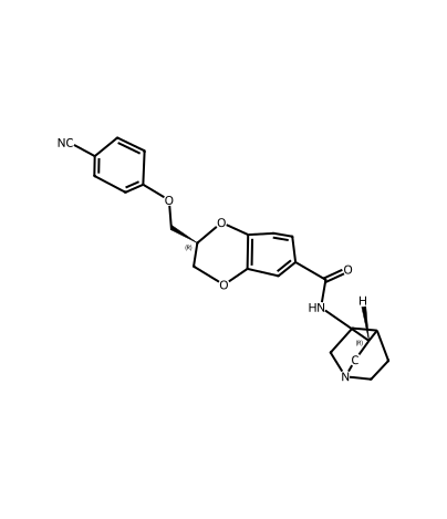 N#Cc1ccc(OC[C@@H]2COc3cc(C(=O)N[C@H]4CN5CCC4CC5)ccc3O2)cc1